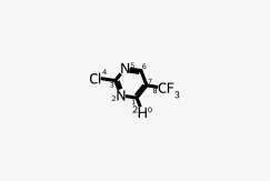 [2H]c1nc(Cl)ncc1C(F)(F)F